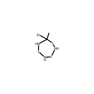 CCC1(C)NSNSNS1